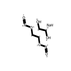 O=NOCCON=O.OCCO.[NaH]